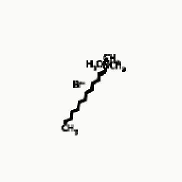 CCCCCCCCCCCC=C[N+](C)(C)C.[Br-]